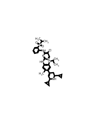 Cc1cc(Nc2ncc(Cl)c(Nc3ccccc3S(=O)(=O)C(C)C)n2)c(OC(C)C)cc1C1=CC(C2CC2)NC(C2CC2)C1